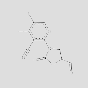 Cc1c(I)cnc(N2CC(C=O)OC2=O)c1C#N